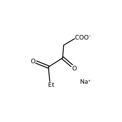 CCC(=O)C(=O)CC(=O)[O-].[Na+]